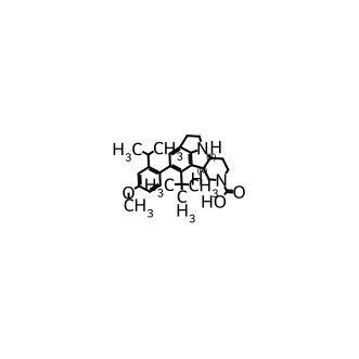 COc1ccc(-c2cc3c4c(c2C(C)(C)C)[C@@H]2CN(C(=O)O)CC[C@@H]2N4CC3)c(C(C)C)c1